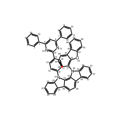 c1ccc(-c2cc(-c3ccccc3)nc(-c3ccc(-n4c5ccccc5c5ccc6c7ccccc7n(-c7cccc8c7oc7ccccc78)c6c54)cc3)n2)cc1